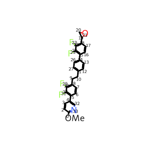 COc1ccc(-c2ccc(CCc3ccc(-c4ccc(C5CO5)c(F)c4F)cc3)c(F)c2F)cn1